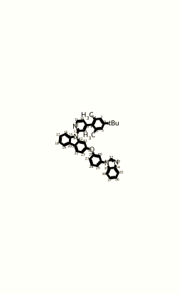 Cc1cc(C(C)(C)C)cc(C)c1-c1ccnc(-n2c3ccccc3c3ccc(Oc4cccc(-n5cnc6ccccc65)c4)cc32)c1